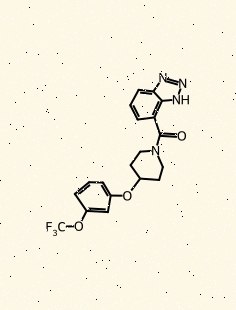 O=C(c1cccc2nn[nH]c12)N1CCC(Oc2cccc(OC(F)(F)F)c2)CC1